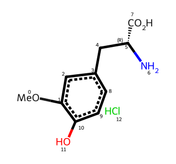 COc1cc(C[C@@H](N)C(=O)O)ccc1O.Cl